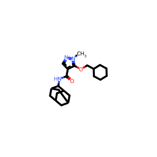 Cn1ncc(C(=O)NC2C3CC4CC(C3)CC2C4)c1OCC1CCCCC1